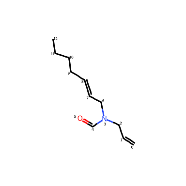 C=CCN(C=O)CC=CCCCC